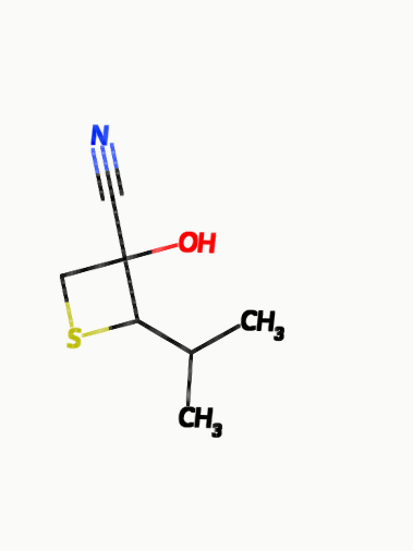 CC(C)C1SCC1(O)C#N